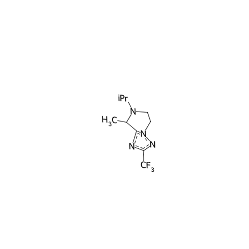 CC(C)N1CCn2nc(C(F)(F)F)nc2C1C